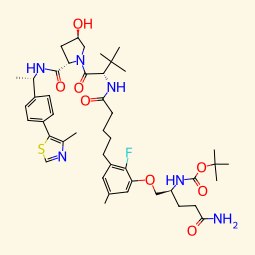 Cc1cc(CCCCC(=O)N[C@H](C(=O)N2C[C@H](O)C[C@H]2C(=O)N[C@@H](C)c2ccc(-c3scnc3C)cc2)C(C)(C)C)c(F)c(OC[C@H](CCC(N)=O)NC(=O)OC(C)(C)C)c1